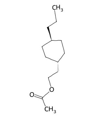 CCC[C@H]1CC[C@H](CCOC(C)=O)CC1